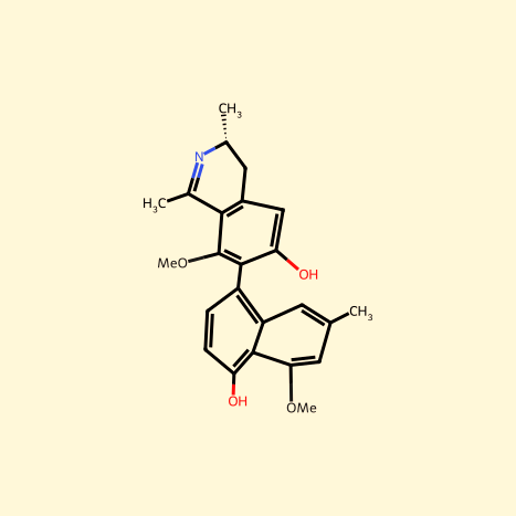 COc1c2c(cc(O)c1-c1ccc(O)c3c(OC)cc(C)cc13)C[C@@H](C)N=C2C